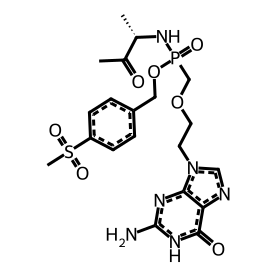 CC(=O)[C@H](C)NP(=O)(COCCn1cnc2c(=O)[nH]c(N)nc21)OCc1ccc(S(C)(=O)=O)cc1